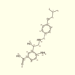 CC(C)COc1ccc(CNCC(O)c2cc(C(=O)O)ccc2N)cc1